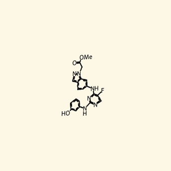 COC(=O)Cn1ncc2ccc(Nc3nc(Nc4cccc(O)c4)ncc3F)cc21